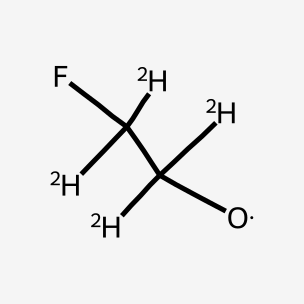 [2H]C([2H])([O])C([2H])([2H])F